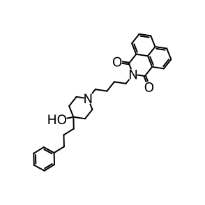 O=C1c2cccc3cccc(c23)C(=O)N1CCCCN1CCC(O)(CCCc2ccccc2)CC1